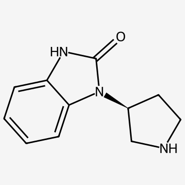 O=c1[nH]c2ccccc2n1[C@H]1CCNC1